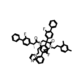 Cc1ccc(CCN(C(=O)C(CN(CCCn2ccnc2)C(=O)[C@H](C)c2ccc(-c3ccccc3)c(F)c2)(c2ccc(-c3ccccc3)c(F)c2)c2ccc(-c3ccccc3)c(F)c2)C2CC2)c(C)c1